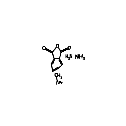 CCCC.N.N.O=C1OC(=O)c2ccccc21